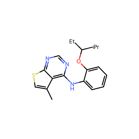 CCC(Oc1ccccc1Nc1ncnc2scc(C)c12)C(C)C